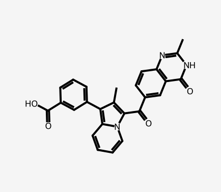 Cc1nc2ccc(C(=O)c3c(C)c(-c4cccc(C(=O)O)c4)c4ccccn34)cc2c(=O)[nH]1